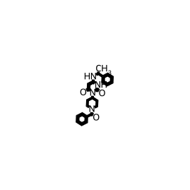 CC(Nc1cc(=O)n(C2CCN(C(=O)c3ccccc3)CC2)c(=O)[nH]1)c1ccccc1